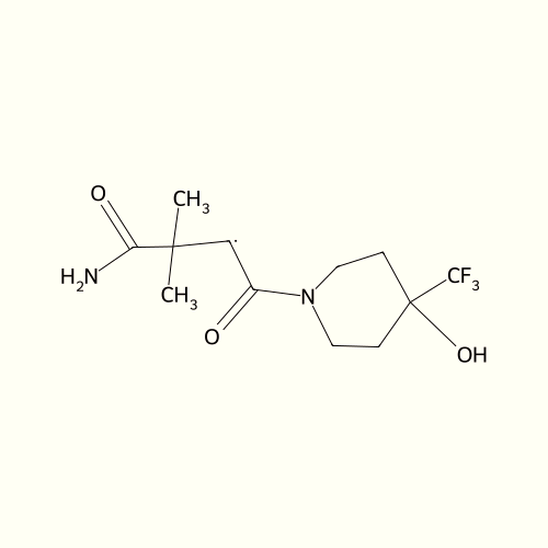 CC(C)([CH]C(=O)N1CCC(O)(C(F)(F)F)CC1)C(N)=O